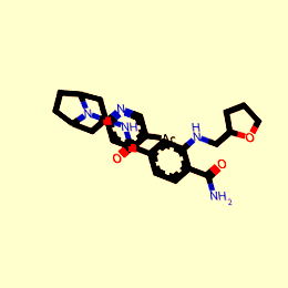 CC(=O)c1ccc(N2C3CCC2CC(NC(=O)c2ccc(C(N)=O)c(NCC4CCCO4)c2)C3)nc1